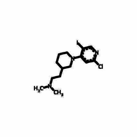 CN(C)CCC1CCCN(c2cc(Cl)ncc2I)C1